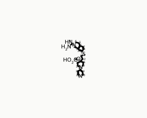 N=C(N)N1CCc2ccc(SCCC3(OC(=O)O)CCN(c4ccncc4)CC3)cc2C1